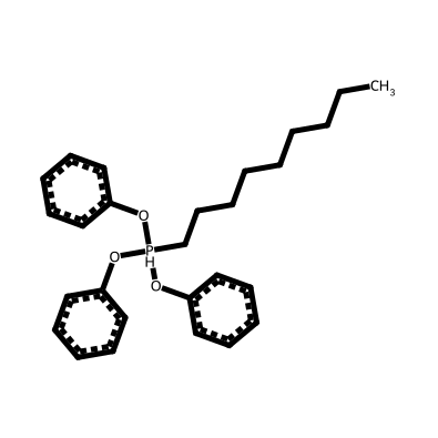 CCCCCCCCC[PH](Oc1ccccc1)(Oc1ccccc1)Oc1ccccc1